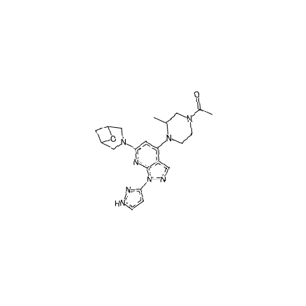 CC(=O)N1CCN(c2cc(N3CC4CC(C3)O4)nc3c2cnn3-c2cc[nH]n2)C(C)C1